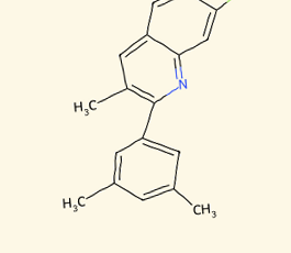 Cc1cc(C)cc(-c2nc3cc(F)ccc3cc2C)c1